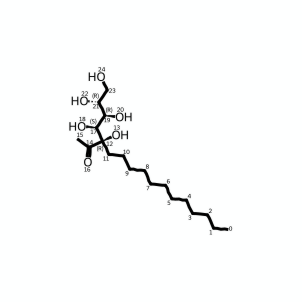 CCCCCCCCCCCC[C@](O)(C(C)=O)[C@@H](O)[C@H](O)[C@H](O)CO